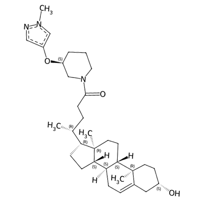 C[C@H](CCC(=O)N1CCC[C@H](Oc2cnn(C)c2)C1)[C@H]1CC[C@H]2[C@@H]3CC=C4C[C@@H](O)CC[C@]4(C)[C@H]3CC[C@]12C